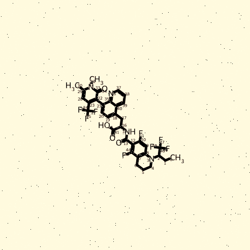 CCC(N1CCCc2c1cc(F)c(C(=O)NC(Cc1ccc(-c3c(C(F)(F)F)cc(C)n(C)c3=O)c3ncccc13)C(=O)O)c2F)C(F)(F)F